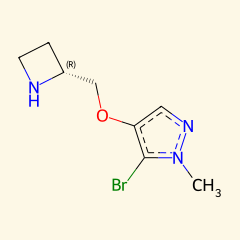 Cn1ncc(OC[C@H]2CCN2)c1Br